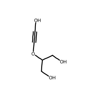 OC#COC(CO)CO